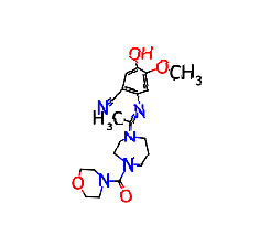 COc1cc(/N=C(\C)N2CCCN(C(=O)N3CCOCC3)CC2)c(C#N)cc1O